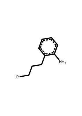 CC(C)CCCc1ccccc1N